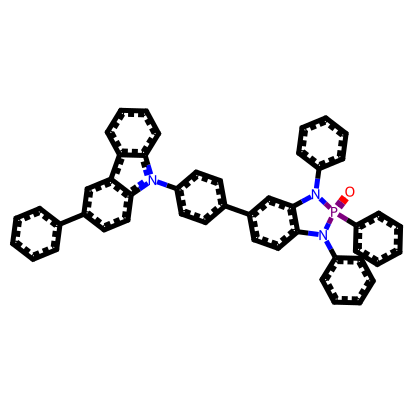 O=P1(c2ccccc2)N(c2ccccc2)c2ccc(-c3ccc(-n4c5ccccc5c5cc(-c6ccccc6)ccc54)cc3)cc2N1c1ccccc1